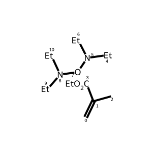 C=C(C)C(=O)OCC.CCN(CC)ON(CC)CC